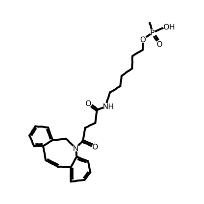 CP(=O)(O)OCCCCCCNC(=O)CCC(=O)N1Cc2ccccc2/C=C\c2ccccc21